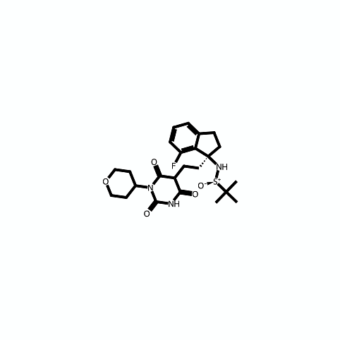 CC(C)(C)[S@@+]([O-])N[C@]1(CCC2C(=O)NC(=O)N(C3CCOCC3)C2=O)CCc2cccc(F)c21